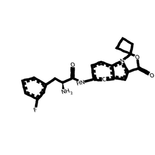 N[C@@H](Cc1cccc(F)c1)C(=O)Nc1ccc2c(c1)cc1n2C2(CCC2)OC1=O